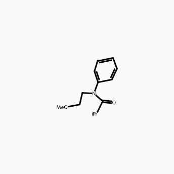 COCCN(C(=O)C(C)C)c1ccccc1